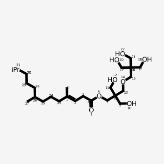 C/C(=C\CC(=O)OCC(CO)(CO)COCC(CO)(CO)CO)CCCC(C)CCCC(C)C